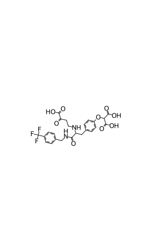 O=C(O)C(=O)CCNC(Cc1ccc(OC(C(=O)O)C(=O)O)cc1)C(=O)NCc1ccc(C(F)(F)F)cc1